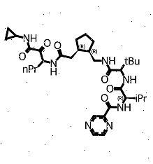 CCCC(NC(=O)C[C@H]1CCC[C@H]1CNC(=O)C(NC(=O)[C@H](NC(=O)c1cnccn1)C(C)C)C(C)(C)C)C(=O)C(=O)NC1CC1